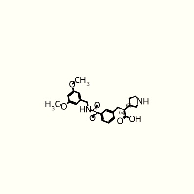 COc1cc(CNS(=O)(=O)c2cccc(C[C@H](C(=O)O)[C@H]3CCNC3)c2)cc(OC)c1